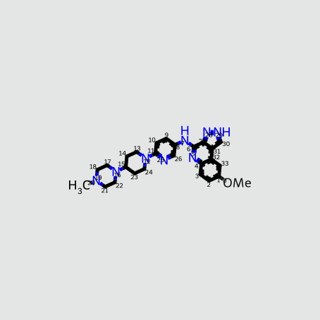 COc1ccc2nc(Nc3ccc(N4CCC(N5CCN(C)CC5)CC4)nc3)c3n[nH]cc3c2c1